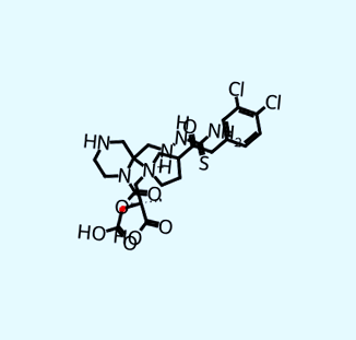 C[C@](CC(=O)O)(C[N+]1(C2(CNNC(N)=S)CNCCN2C(=O)[O-])CCC(C(=O)Cc2ccc(Cl)c(Cl)c2)C1)C(=O)O